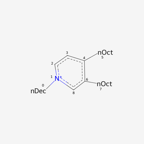 CCCCCCCCCC[n+]1ccc(CCCCCCCC)c(CCCCCCCC)c1